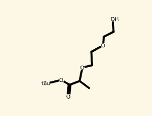 CC(OCCOCCO)C(=O)OC(C)(C)C